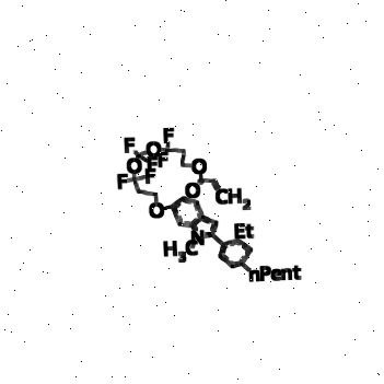 C=CC(=O)OCCC(F)(F)OC(F)(F)OC(F)(F)CCOc1ccc2cc(-c3ccc(CCCCC)cc3CC)n(C)c2c1